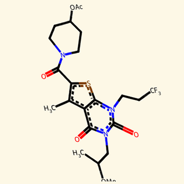 COC(C)Cn1c(=O)c2c(C)c(C(=O)N3CCC(OC(C)=O)CC3)sc2n(CCC(F)(F)F)c1=O